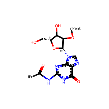 CCCCCOC1C(O)[C@@H](CO)O[C@H]1n1cnc2c(=O)[nH]c(NC(=O)C(C)C)nc21